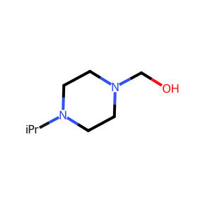 CC(C)N1CCN(CO)CC1